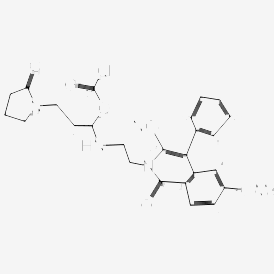 COc1ccc2c(=O)n(CCNC(CCN3CCCC3=O)OC(=O)C(F)(F)F)c(C#N)c(-c3ccccc3)c2c1